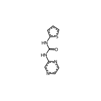 O=C(Nc1cnccn1)Nc1cccs1